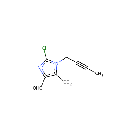 CC#CCn1c(Cl)nc(C=O)c1C(=O)O